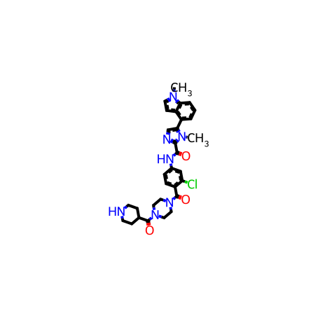 Cn1c(-c2cccc3c2ccn3C)cnc1C(=O)Nc1ccc(C(=O)N2CCN(C(=O)C3CCNCC3)CC2)c(Cl)c1